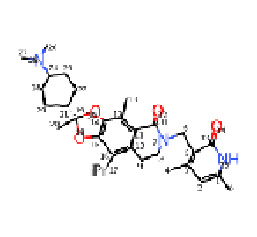 Cc1cc(C)c(CN2CCc3c(c(C)c4c(c3C(C)C)OC(C)([C@H]3CC[C@H](N(C)C)CC3)O4)C2=O)c(=O)[nH]1